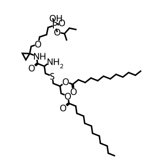 CCCCCCCCCCCC(=O)OCC(CSCC(N)C(=O)NC1(COCCCP(=O)(O)OC(C)CC)CC1)OC(=O)CCCCCCCCCCC